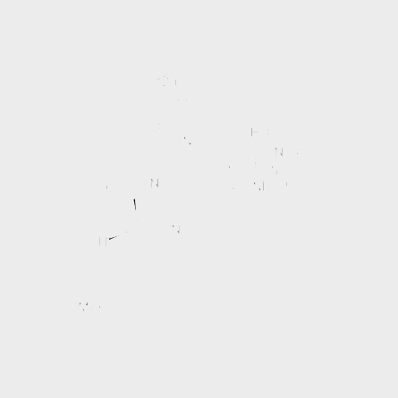 COc1ccc2c(c1)[C@@H]1C[C@]1(C(=O)N1CC3CCCN(C(=O)OC(C)(C)C)C3C1)Cn1c-2c(C2CCCCC2)c2ccc(C(=O)NS(=O)(=O)N(C)C)cc21